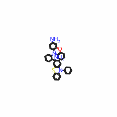 Nc1ccc2c(c1)OC1=C(CCC=C1)N2C1=CC=CCC1[C@]1(N)C=C2Sc3ccccc3N(C3=CC=CCC3)C2=CC1